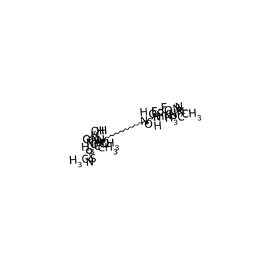 Cc1ncsc1-c1ccc(CNC(=O)[C@@H]2C[C@@H](O)CN2C(=O)[C@H](NC(=O)CCCCCCCCCCCCCCCCNC(=O)CCC(=O)Nc2cc(C(=O)Nc3cccc(-c4nncn4C(C)C)n3)c(F)cc2F)C(C)(C)C)cc1